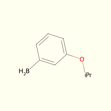 Bc1cccc(OC(C)C)c1